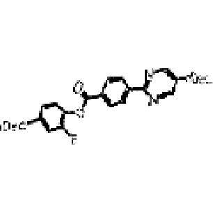 CCCCCCCCCCc1cnc(-c2ccc(C(=O)Oc3ccc(CCCCCCCCCC)cc3F)cc2)nc1